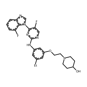 CCc1cc(Nc2ncc(F)c(-n3cnc4cccc(F)c43)n2)cc(OCCN2CCC(O)CC2)c1